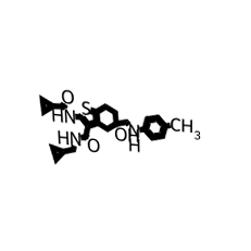 Cc1ccc(NCC2(O)CCc3sc(NC(=O)C4CC4)c(C(=O)NCC4CC4)c3C2)cc1